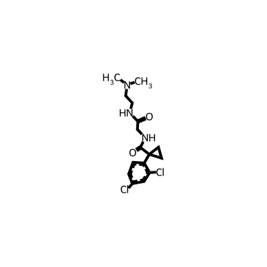 CN(C)CCNC(=O)CNC(=O)C1(c2ccc(Cl)cc2Cl)CC1